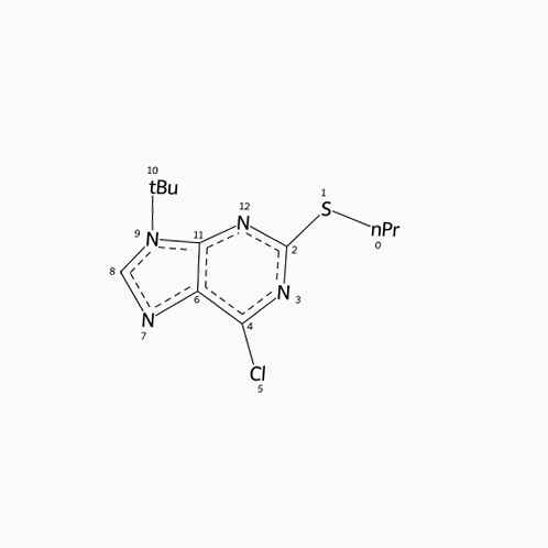 CCCSc1nc(Cl)c2ncn(C(C)(C)C)c2n1